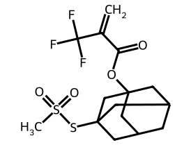 C=C(C(=O)OC12CC3CC(C1)CC(SS(C)(=O)=O)(C3)C2)C(F)(F)F